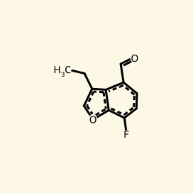 CCc1coc2c(F)ccc(C=O)c12